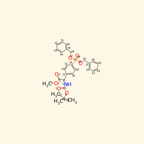 COC(=O)C(NC(=O)OC(C)(C)C)c1ccc(P(=O)(OCc2ccccc2)OCc2ccccc2)cc1